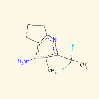 Cc1c(C(C)(F)F)nc2c(c1N)CCC2